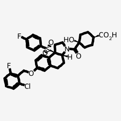 O=C(O)[C@H]1CC[C@](O)(C(=O)N2CC[C@@]3(S(=O)(=O)c4ccc(F)cc4)c4ccc(OCc5c(F)cccc5Cl)cc4CC[C@@H]23)CC1